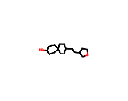 OC1CCC2(CC1)CCC(CCC1CCOC1)CC2